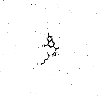 Cc1nc2c(Cl)cc(C(=O)[C@H]3C[C@@H]3C(=O)OCCO)cc2o1